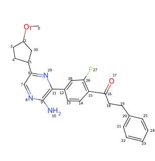 COC1CCC(c2cnc(N)c(-c3ccc(C(=O)CCc4ccccc4)c(F)c3)n2)C1